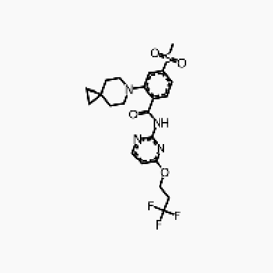 CS(=O)(=O)c1ccc(C(=O)Nc2nccc(OCCC(F)(F)F)n2)c(N2CCC3(CC2)CC3)c1